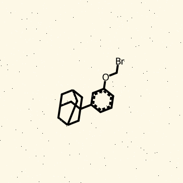 BrCOc1cccc(C23CC4CC(CC(C4)C2)C3)c1